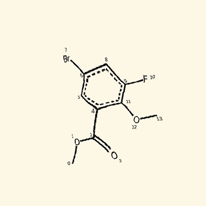 COC(=O)c1cc(Br)cc(F)c1OC